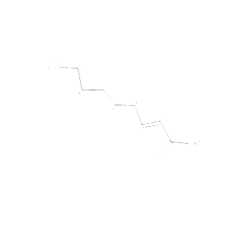 O=C(O)C=CCCCCCO